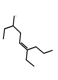 [CH2]C(CC)CC=C(CC)CCC